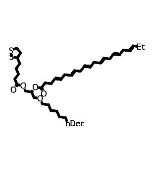 CCC=CCC=CCC=CCC=CCC=CCC=CCCC(=O)OC(COCCCCCCCCCCCCCCCC)COC(=O)CCCCC1CCSS1